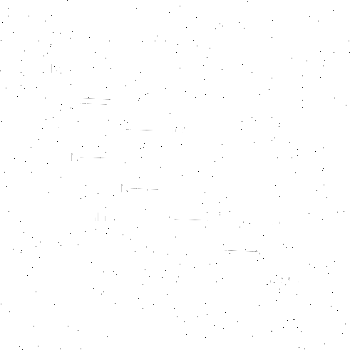 CCCN(CCCCC(=O)OC)c1ncc(Br)cc1C=O